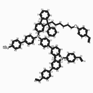 C=Cc1ccc(OCCCCCCC2(c3ccccc3)c3ccccc3-c3ccc(N(c4ccc(-c5ccc(C(C)(C)C)cc5)cc4)c4ccc(-c5ccc6c(c5)c5cc(-c7ccc(C=C)cc7)ccc5n6-c5ccc(C=C)cc5)cc4)cc32)cc1